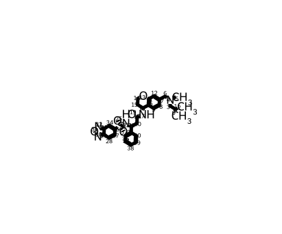 CC(C)CN(C)Cc1ccc2c(c1)OCCC2NC(=O)CC(NS(=O)(=O)c1ccc2nonc2c1)c1ccccc1